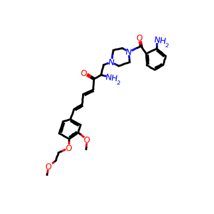 COCCOc1ccc(C=CC=CC(=O)C(N)CN2CCN(C(=O)c3ccccc3N)CC2)cc1OC